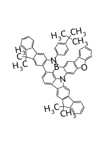 CC(C)(C)c1ccc(N2B3c4cc5c(cc4-n4c6cc7c(cc6c6ccc(c3c64)-c3cc4c(cc32)-c2ccccc2C4(C)C)C(C)(C)c2ccccc2-7)oc2ccccc25)cc1